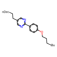 CCCCCCCCCCCCc1cnc(-c2ccc(OCCCC(C)CC)cc2)nc1